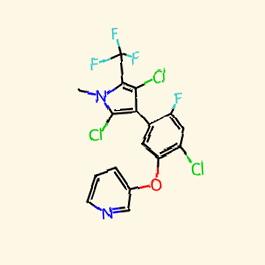 Cn1c(Cl)c(-c2cc(Oc3cccnc3)c(Cl)cc2F)c(Cl)c1C(F)(F)F